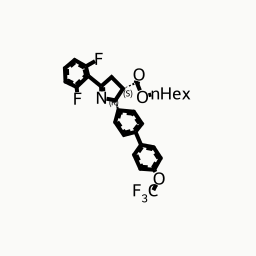 CCCCCCOC(=O)[C@H]1CC(c2c(F)cccc2F)=N[C@H]1c1ccc(-c2ccc(OC(F)(F)F)cc2)cc1